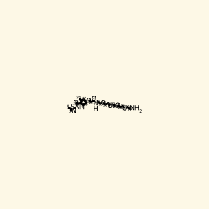 Cc1cnc(NC(=O)c2ccc(OCC(=O)NCCOCCOCCOCCOCCN)cc2C)s1